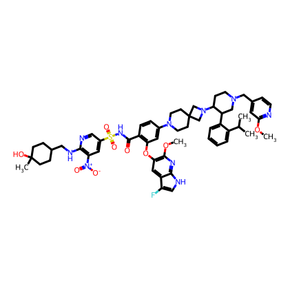 COc1cc(CN2CCC(N3CC4(CCN(c5ccc(C(=O)NS(=O)(=O)c6cnc(NCC7CCC(C)(O)CC7)c([N+](=O)[O-])c6)c(Oc6cc7c(F)c[nH]c7nc6OC)c5)CC4)C3)C(c3ccccc3C(C)C)C2)ccn1